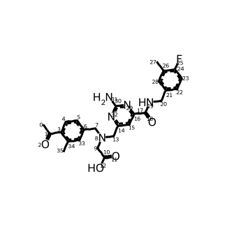 CC(=O)c1ccc(CN(CC(=O)O)Cc2cc(C(=O)NCc3ccc(F)c(C)c3)nc(N)n2)cc1C